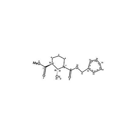 COC(=O)[C@H]1CCCN(C(=O)OCc2ccccc2)[C@@H]1C